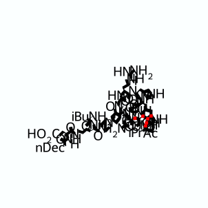 CCCCCCCCCCCC(=O)N[C@@H](CCC(=O)O)C(=O)NCCCC[C@H](NC(=O)[C@@H](N)[C@@H](C)CC)C(=O)N1CCN(c2ccc3ncn(CC(=O)N[C@@H](CCCNC(=N)N)C(=O)N[C@@H](Cc4c[nH]cn4)C(=O)N[C@@H](Cc4ccc(O)cc4)C(=O)N[C@@H](CC(C)C)C(=O)N[C@@H](CC(N)=O)C(=O)N[C@@H](Cc4c[nH]c5ccccc45)C(=O)N[C@H](C(C)=O)C(C)C)c(=O)c3c2)CC1